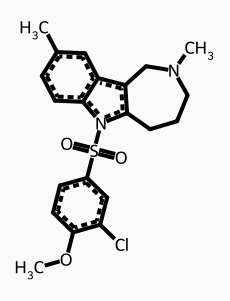 COc1ccc(S(=O)(=O)n2c3c(c4cc(C)ccc42)CN(C)CCC3)cc1Cl